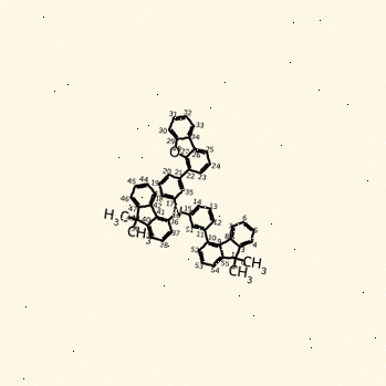 CC1(C)c2ccccc2-c2c(-c3cccc(N(c4cccc(-c5cccc6c5oc5ccccc56)c4)c4cccc5c4-c4ccccc4C5(C)C)c3)cccc21